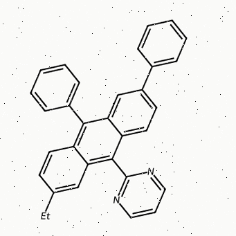 CCc1ccc2c(-c3ccccc3)c3cc(-c4ccccc4)ccc3c(-c3ncccn3)c2c1